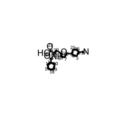 N#Cc1ccc(-c2ccc(/C=C(\NC(=O)c3ccccc3)C(=O)O)o2)cc1